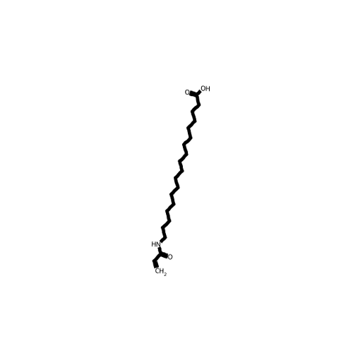 C=CC(=O)NCCCCCCCCCCCCCCCCCC(=O)O